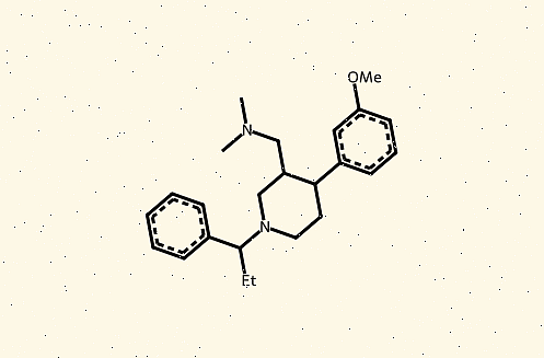 CCC(c1ccccc1)N1CCC(c2cccc(OC)c2)C(CN(C)C)C1